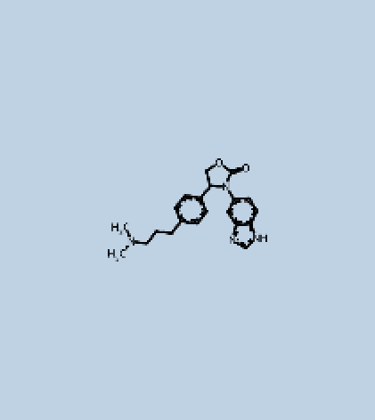 CN(C)CCCc1ccc(C2COC(=O)N2c2ccc3[nH]cnc3c2)cc1